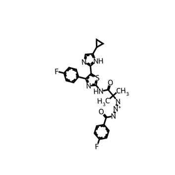 CC(C)(N=[N+]=NC(=O)c1ccc(F)cc1)C(=O)Nc1nc(-c2ccc(F)cc2)c(-c2ncc(C3CC3)[nH]2)s1